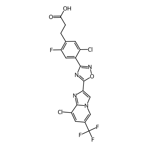 O=C(O)CCc1cc(Cl)c(-c2noc(-c3cn4cc(C(F)(F)F)cc(Cl)c4n3)n2)cc1F